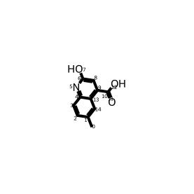 Cc1ccc2nc(O)cc(C(=O)O)c2c1